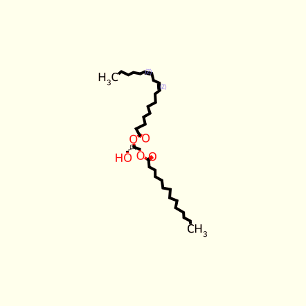 CCCCC/C=C\C/C=C\CCCCCCCC(=O)O[C@@H](CO)COC(=O)CCCCCCCCCCCCC